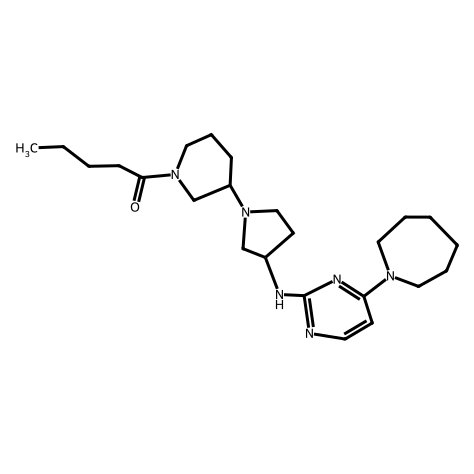 CCCCC(=O)N1CCCC(N2CCC(Nc3nccc(N4CCCCCC4)n3)C2)C1